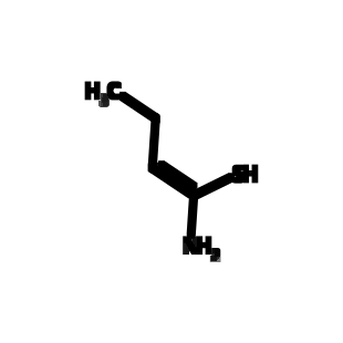 CCC=C(N)S